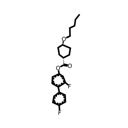 CCCCCO[C@H]1CC[C@H](C(=O)Oc2ccc(-c3ccc(F)cc3)c(F)c2)CC1